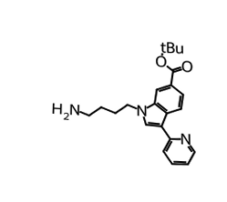 CC(C)(C)OC(=O)c1ccc2c(-c3ccccn3)cn(CCCCN)c2c1